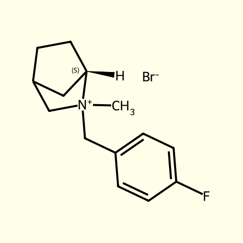 C[N+]1(Cc2ccc(F)cc2)CC2CC[C@H]1C2.[Br-]